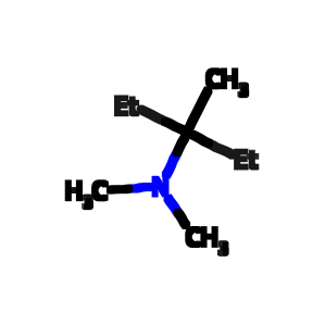 [CH2]CC(C)(CC)N(C)C